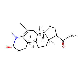 COC(=O)C1CC[C@H]2[C@@H]3CC(C)=C4N(C)C(=O)CC[C@]4(C)[C@@H]3CC[C@]12C